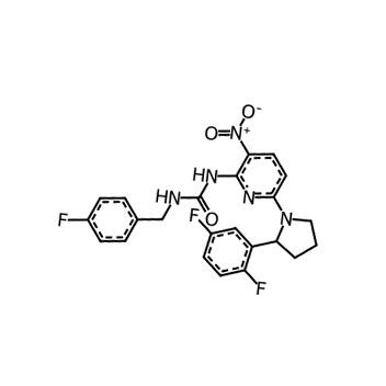 O=C(NCc1ccc(F)cc1)Nc1nc(N2CCCC2c2cc(F)ccc2F)ccc1[N+](=O)[O-]